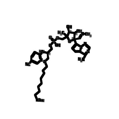 CCCCCCCCCCCCCCCCCCOC[C@H](COP(=O)(O)OCC1(C)O[C@@](C=NC)(c2ccc3c(N)ncnn23)[C@H](O)[C@@H]1O)Nc1ccc(C#N)cn1